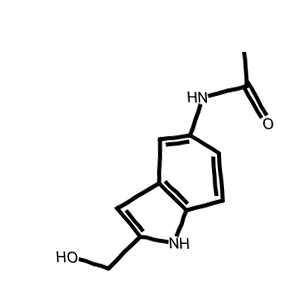 CC(=O)Nc1ccc2[nH]c(CO)cc2c1